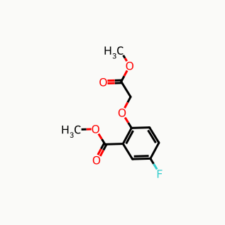 COC(=O)COc1ccc(F)cc1C(=O)OC